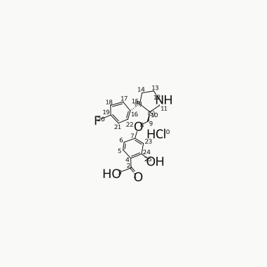 Cl.O=C(O)c1ccc(OC[C@@H]2CNCC[C@H]2c2ccc(F)cc2)cc1O